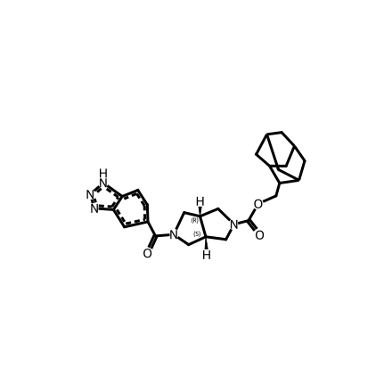 O=C(OCC1C2CC3CC(C2)CC1C3)N1C[C@@H]2CN(C(=O)c3ccc4[nH]nnc4c3)C[C@@H]2C1